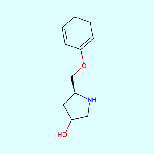 OC1CN[C@H](COC2=CCCC=C2)C1